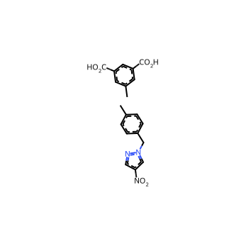 Cc1cc(C(=O)O)cc(C(=O)O)c1.Cc1ccc(Cn2cc([N+](=O)[O-])cn2)cc1